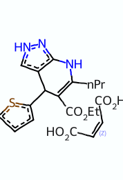 CCCC1=C(C(=O)OCC)C(c2cccs2)c2c[nH]nc2N1.O=C(O)/C=C\C(=O)O